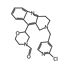 O=CN1CCOC(c2c3c(nc4ccccc24)CCN(Cc2ccnc(Cl)c2)C3)C1